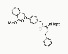 CCCCCCCN(CCc1ccccc1)C(=O)Cc1ccc(OCc2ccccc2C(=O)OC)cc1